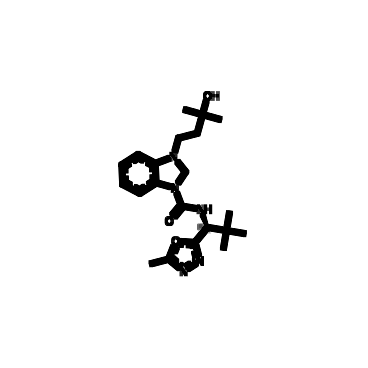 Cc1nnc([C@@H](NC(=O)N2CN(CCC(C)(C)O)c3ccccc32)C(C)(C)C)o1